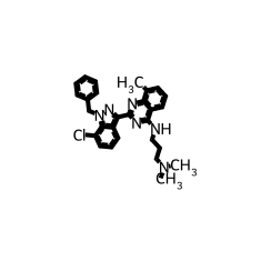 Cc1cccc2c(NCCCN(C)C)nc(-c3nn(Cc4ccccc4)c4c(Cl)cccc34)nc12